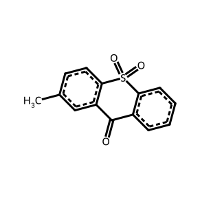 Cc1ccc2c(c1)C(=O)c1ccccc1S2(=O)=O